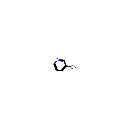 N#Cc1[c][c][c]nc1